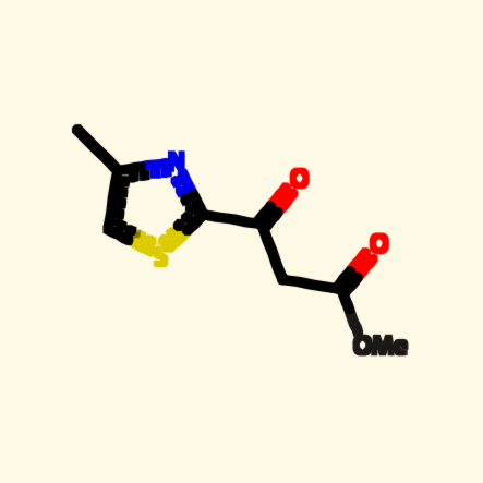 COC(=O)CC(=O)c1nc(C)cs1